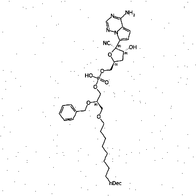 CCCCCCCCCCCCCCCCCCOC[C@H](COP(=O)(O)OC[C@@H]1C[C@@H](O)[C@](C#N)(c2ccc3c(N)ncnn23)O1)OCc1ccccc1